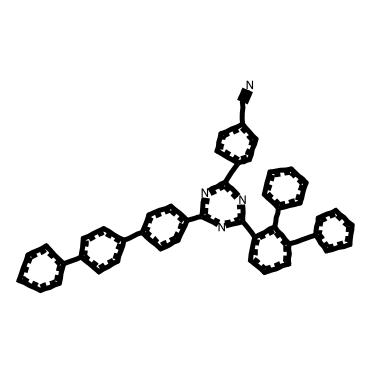 N#Cc1ccc(-c2nc(-c3ccc(-c4ccc(-c5ccccc5)cc4)cc3)nc(-c3cccc(-c4ccccc4)c3-c3ccccc3)n2)cc1